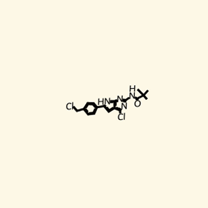 CC(C)(C)C(=O)Nc1nc(Cl)c2cc(-c3ccc(CCl)cc3)[nH]c2n1